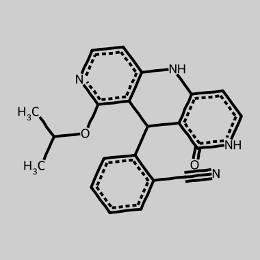 CC(C)Oc1nccc2c1C(c1ccccc1C#N)c1c(cc[nH]c1=O)N2